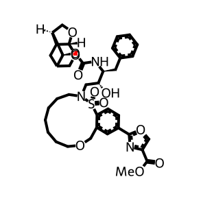 COC(=O)c1coc(-c2ccc3c(c2)COCCCCCCCN(C[C@@H](O)[C@H](Cc2ccccc2)NC(=O)O[C@H]2C4CO[C@H]5OC[C@@H]2C5C4)S3(=O)=O)n1